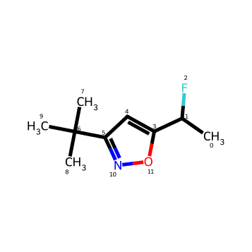 CC(F)c1cc(C(C)(C)C)no1